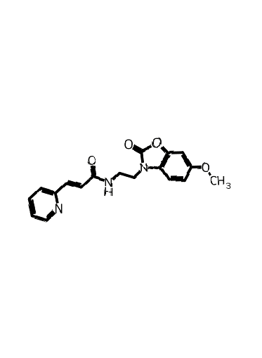 COc1ccc2c(c1)oc(=O)n2CCNC(=O)/C=C/c1ccccn1